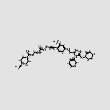 Cc1cc(OCc2nnc(SC3C=CCCC3)n2-c2cccnc2)ccc1C#CCOC(=O)NCCC(=O)N1CCN(C)CC1